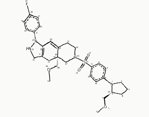 COC[C@@H]1CCCN1c1ccc(S(=O)(=O)N2CCC3=CC4=C(CNN4c4ccc(F)cc4)C[C@]3(COC)C2)cc1